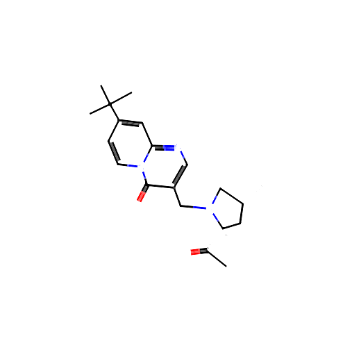 CC(=O)[C@H]1C[C@@H](C)CN1Cc1cnc2cc(C(C)(C)C)ccn2c1=O